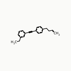 C=CCCc1ccc(C#Cc2c[c]cc(CC)c2)cc1